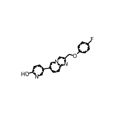 Oc1ccc(-c2ccc3nc(COc4ccc(F)cc4)cn3c2)cn1